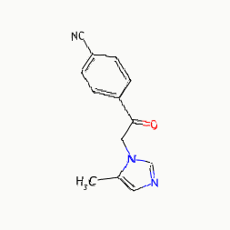 Cc1cncn1CC(=O)c1ccc(C#N)cc1